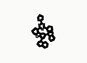 c1ccc(-c2nc(-c3ccccc3)nc(-c3cccc4oc5c(-c6cccc7ccccc67)cc(-c6cccc7ccccc67)cc5c34)n2)cc1